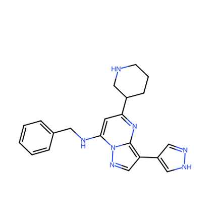 c1ccc(CNc2cc(C3CCCNC3)nc3c(-c4cn[nH]c4)cnn23)cc1